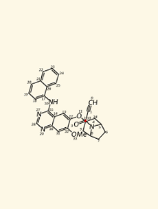 C#CC(=O)N1C2CCC1CC(Oc1cc3c(Nc4cccc5ccccc45)ncnc3cc1OC)C2